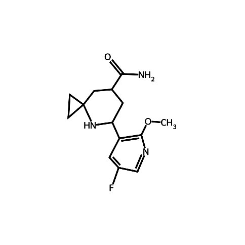 COc1ncc(F)cc1C1CC(C(N)=O)CC2(CC2)N1